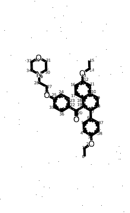 CCOc1ccc(-c2ccc3cc(OCC)ccc3c2C(=O)c2ccc(OCCN3CCOCC3)cc2)cc1